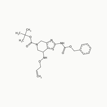 C=CCONC1CN(C(=O)OC(C)(C)C)Cc2nc(NC(=O)OCc3ccccc3)sc21